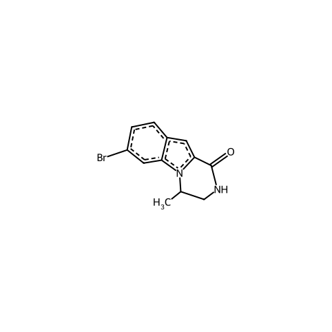 CC1CNC(=O)c2cc3ccc(Br)cc3n21